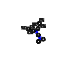 N#Cc1cc(C#N)c(-c2ccc3c(c2)c2cc(-c4c(C#N)cc(C#N)cc4C#N)ccc2n3-c2ccc(-n3c4ccccc4c4ccccc43)cc2)c(C#N)c1